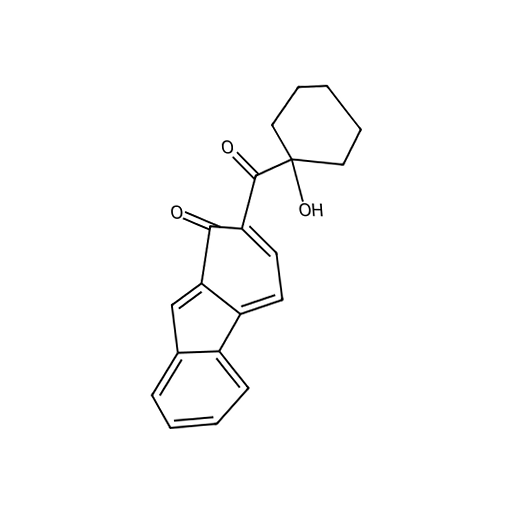 O=C1C(C(=O)C2(O)CCCCC2)=CC=C2C1=Cc1ccccc12